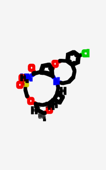 C[C@@H]1C[C@H]2C[C@H](O1)[C@@H]1CC[C@H]1CN1CCCCc3cc(Cl)ccc3COc3ccc(cc31)C(=O)NS(=O)(=O)CCO2